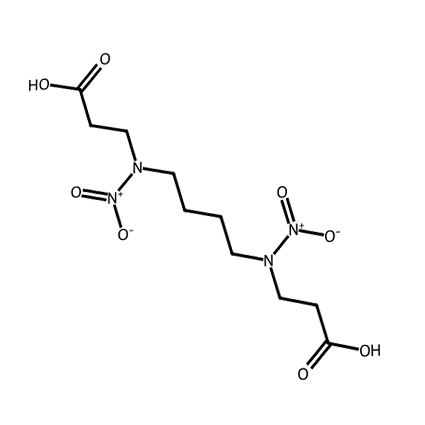 O=C(O)CCN(CCCCN(CCC(=O)O)[N+](=O)[O-])[N+](=O)[O-]